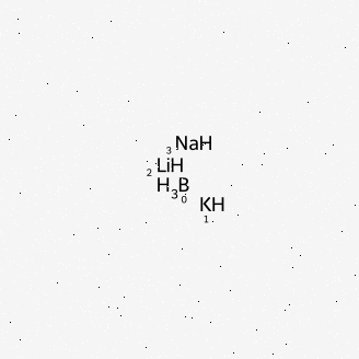 B.[KH].[LiH].[NaH]